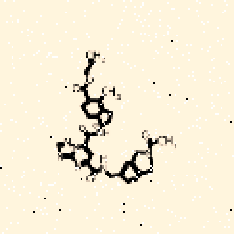 C=CCOC(=O)C1=CCC2C(=C1C)CC[C@@H]2NC(=O)c1cc(C(=O)NCc2ccc3c(c2)CN(C(C)=O)CC3)nc2ncnn12